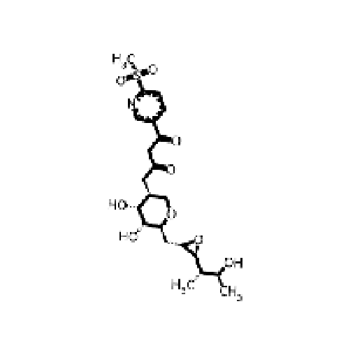 C[C@H]([C@@H]1O[C@H]1C[C@@H]1OC[C@H](CC(=O)CC(=O)c2ccc(S(C)(=O)=O)nc2)[C@@H](O)[C@H]1O)[C@H](C)O